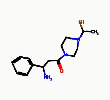 CC(S)N1CCN(C(=O)CC(N)c2ccccc2)CC1